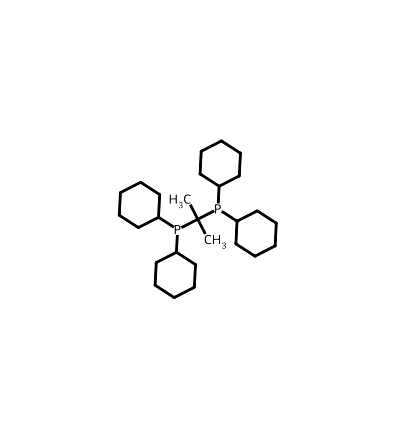 CC(C)(P(C1CCCCC1)C1CCCCC1)P(C1CCCCC1)C1CCCCC1